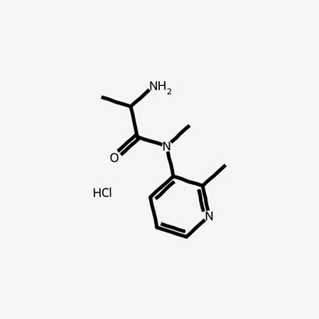 Cc1ncccc1N(C)C(=O)C(C)N.Cl